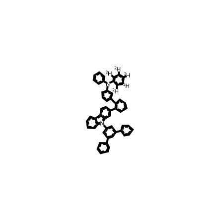 [2H]c1c([2H])c([2H])c(N(c2ccccc2)c2cccc(-c3ccccc3-c3ccc4c5ccccc5n(-c5cc(-c6ccccc6)cc(-c6ccccc6)c5)c4c3)c2)c([2H])c1[2H]